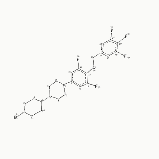 CCC1CCC(C2CCC(c3cc(F)c(OCc4cc(F)c(F)c(F)c4)c(F)c3)CC2)CC1